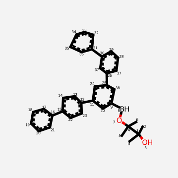 CC(C)(O)C(C)(C)OBc1cc(-c2ccc(-c3ccccc3)cc2)cc(-c2cccc(-c3ccccc3)c2)c1